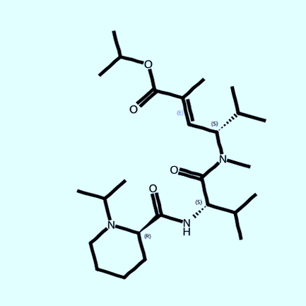 C/C(=C\[C@H](C(C)C)N(C)C(=O)[C@@H](NC(=O)[C@H]1CCCCN1C(C)C)C(C)C)C(=O)OC(C)C